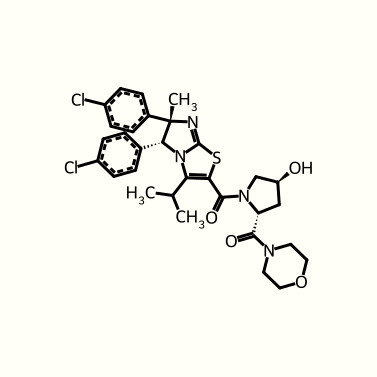 CC(C)C1=C(C(=O)N2C[C@@H](O)C[C@@H]2C(=O)N2CCOCC2)SC2=N[C@@](C)(c3ccc(Cl)cc3)[C@@H](c3ccc(Cl)cc3)N21